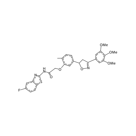 COc1cc(C2=NOC(c3ccc(C)c(OCC(=O)Nc4nc5cc(F)ccc5s4)c3)C2)cc(OC)c1OC